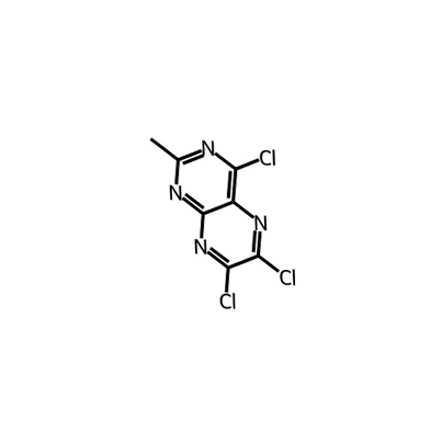 Cc1nc(Cl)c2nc(Cl)c(Cl)nc2n1